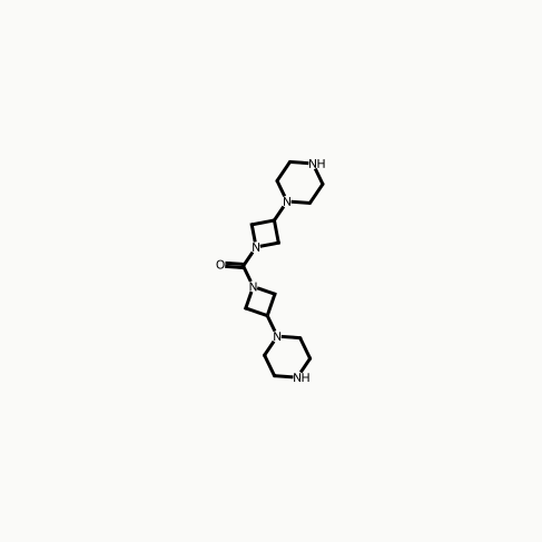 O=C(N1CC(N2CCNCC2)C1)N1CC(N2CCNCC2)C1